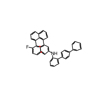 Fc1ccccc1-c1cccc2cccc(-c3cccc(Nc4ccccc4-c4ccc(-c5ccccc5)cc4)c3)c12